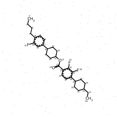 CCCCc1ccc(C2CCC(OC(=O)c3ccc(C4CCC(CC)CC4)c(F)c3F)CC2)cc1F